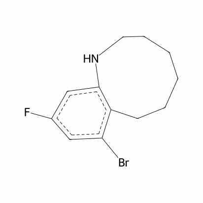 Fc1cc(Br)c2c(c1)NCCCCCC2